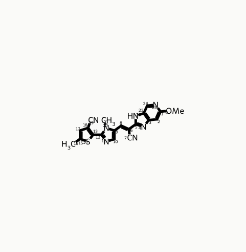 COc1cc2nc(/C(C#N)=C/c3cnc(-c4sc(C)cc4C#N)n3C)[nH]c2cn1